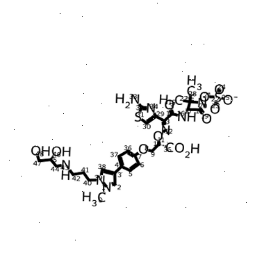 C[n+]1cc(-c2ccc(OC[C@H](O/N=C(/C(=O)N[C@@H]3C(=O)N(OS(=O)(=O)[O-])C3(C)C)c3csc(N)n3)C(=O)O)cc2)cn1CCCNC[C@H](O)CO